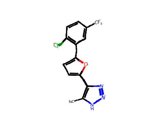 N#Cc1[nH]nnc1-c1ccc(-c2cc(C(F)(F)F)ccc2Cl)o1